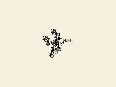 NCCCC[C@@H](C(=O)NCC(=O)N1CCOCC1)N(CC(=O)NCC(=O)N1CCOCC1)CC(=O)NCC(=O)N1CCOCC1